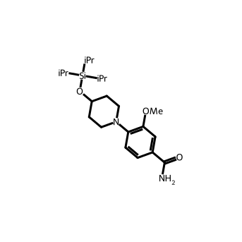 COc1cc(C(N)=O)ccc1N1CCC(O[Si](C(C)C)(C(C)C)C(C)C)CC1